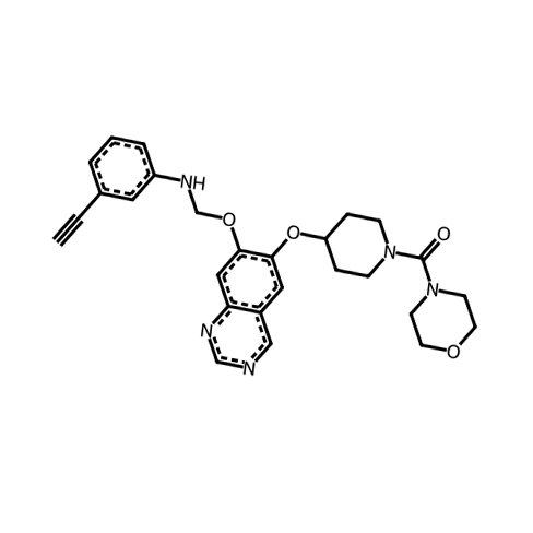 C#Cc1cccc(NCOc2cc3ncncc3cc2OC2CCN(C(=O)N3CCOCC3)CC2)c1